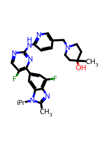 Cc1nc2c(F)cc(-c3nc(Nc4ccc(CN5CCC(C)(O)CC5)cn4)ncc3F)cc2n1C(C)C